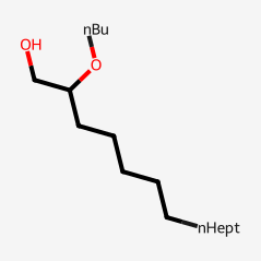 CCCCCCCCCCCCC(CO)OCCCC